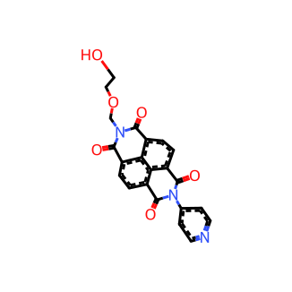 O=C1c2ccc3c4c(ccc(c24)C(=O)N1COCCO)C(=O)N(c1ccncc1)C3=O